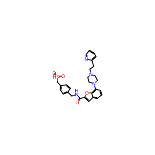 O=C(NCc1ccc(C[SH](=O)=O)cc1)c1cc2cccc(N3CCN(CCc4ccccn4)CC3)c2o1